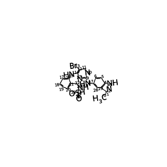 Cc1n[nH]c2ccc(Nc3ncc(Br)c(Nc4ccccc4CN[SH](=O)=O)n3)cc12